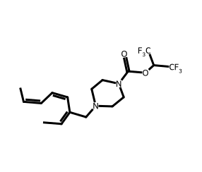 C\C=C/C=C\C(=C/C)CN1CCN(C(=O)OC(C(F)(F)F)C(F)(F)F)CC1